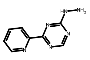 NNc1ncnc(-c2ccccn2)n1